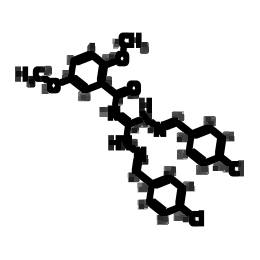 COc1ccc(OC)c(C(=O)N=C(N/N=C/c2ccc(Cl)cc2)N/N=C/c2ccc(Cl)cc2)c1